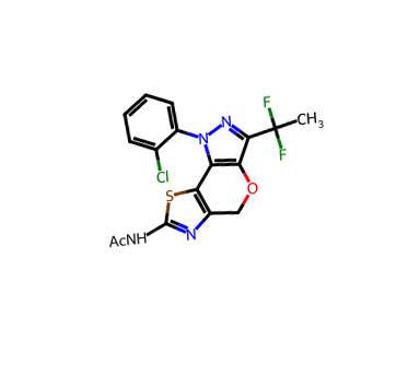 CC(=O)Nc1nc2c(s1)-c1c(c(C(C)(F)F)nn1-c1ccccc1Cl)OC2